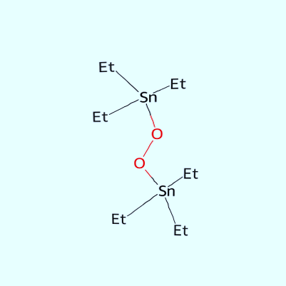 C[CH2][Sn]([CH2]C)([CH2]C)[O][O][Sn]([CH2]C)([CH2]C)[CH2]C